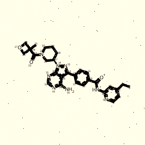 CCc1ccnc(NC(=O)c2ccc(-c3nn([C@@H]4CCCN(C(=O)C5(C)COC5)C4)c4ncnc(N)c34)cc2)c1